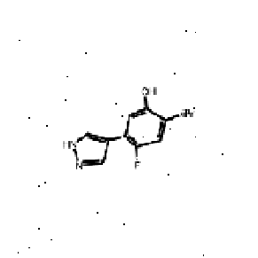 CC(C)c1cc(F)c(-c2cn[nH]c2)cc1O